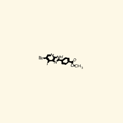 COC(=O)c1ccc(-c2nc3c(I)c(Br)cnc3[nH]2)cc1